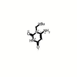 CC(C)(C)Cn1c(N)cc(=O)[nH]c1=O